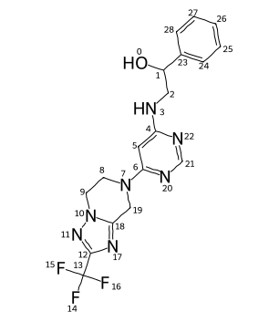 OC(CNc1cc(N2CCn3nc(C(F)(F)F)nc3C2)ncn1)c1ccccc1